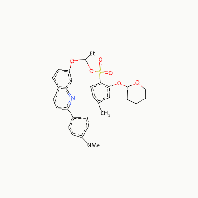 CCC(Oc1ccc2ccc(-c3ccc(NC)cc3)nc2c1)OS(=O)(=O)c1ccc(C)cc1OC1CCCCO1